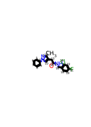 Cc1nn(-c2ccccc2)cc1CC(=O)NCc1ccc(F)cc1Cl